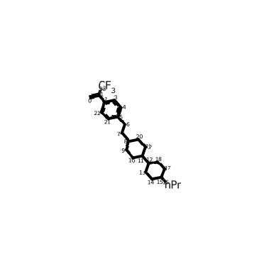 C=C(c1ccc(CCC2CCC(C3CCC(CCC)CC3)CC2)cc1)C(F)(F)F